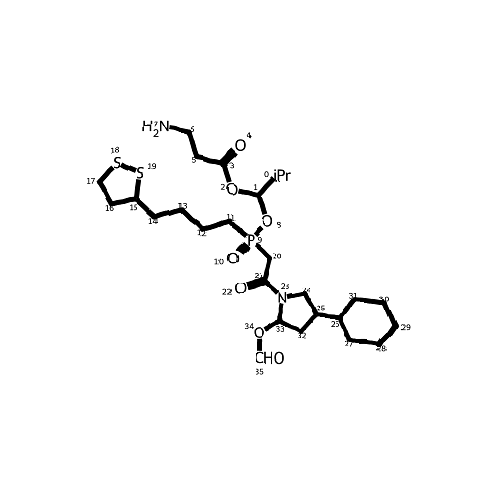 CC(C)C(OC(=O)CCN)OP(=O)(CCCCC1CCSS1)CC(=O)N1CC(C2CCCCC2)CC1OC=O